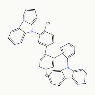 N#Cc1ccc(C2=CCC(C#N)C=C2c2ccccc2-n2c3ccccc3c3ccccc32)cc1-n1c2ccccc2c2ccccc21